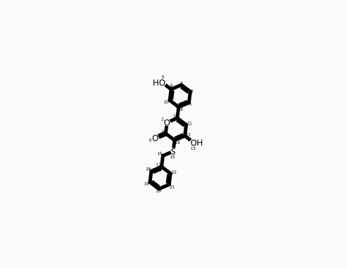 O=c1oc(-c2cccc(O)c2)cc(O)c1SCc1ccccc1